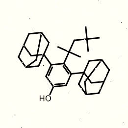 CC(C)(C)CC(C)(C)c1c(C23CC4CC(CC(C4)C2)C3)cc(O)cc1C12CC3CC(CC(C3)C1)C2